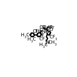 Cc1cc(C)c(-c2cc(C(F)(F)F)c(F)c([C@H](CC(=O)O)NC(=O)C(CC(C)C)n3cc(CCCN(C)C)c(C(F)(F)F)cc3=O)c2F)c(C)c1